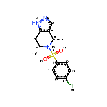 C[C@@H]1Cc2[nH]ncc2[C@H](C)N1S(=O)(=O)c1ccc(Cl)cc1